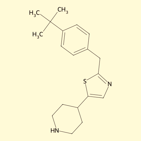 CC(C)(C)c1ccc(Cc2ncc(C3CCNCC3)s2)cc1